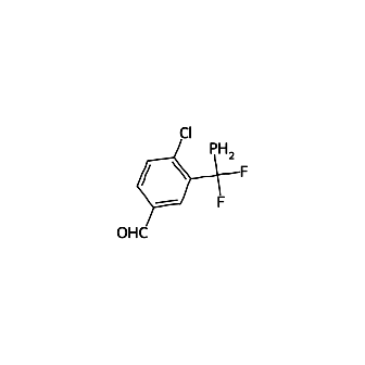 O=Cc1ccc(Cl)c(C(F)(F)P)c1